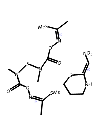 CS/C(C)=N\OC(=O)N(C)SN(C)C(=O)O/N=C(/C)SC.O=[N+]([O-])/C=C1/NCCCS1